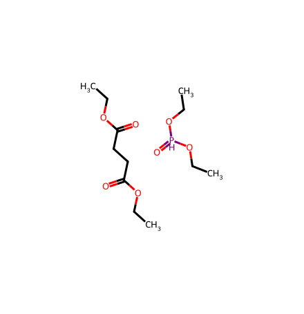 CCOC(=O)CCC(=O)OCC.CCO[PH](=O)OCC